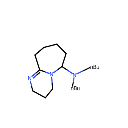 CCCCN(CCCC)C1CCCCC2=NCCCN21